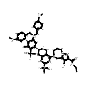 CCOC(=O)c1nn2c(c1Br)CN(c1nc(S(C)(=O)=O)nc3c1CO[C@H](c1cc(N(Cc4ccc(OC)cc4)Cc4ccc(OC)cc4)cc(Cl)c1C(F)(F)F)C3)CCC2